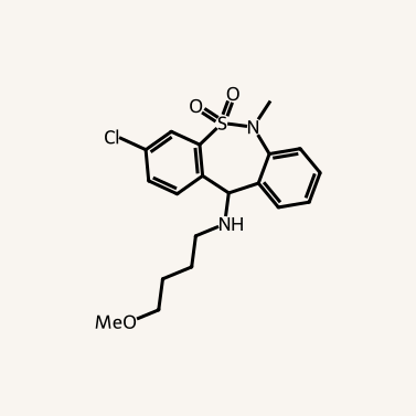 COCCCCNC1c2ccccc2N(C)S(=O)(=O)c2cc(Cl)ccc21